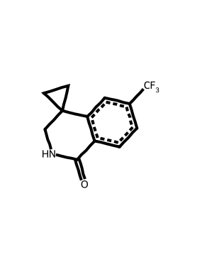 O=C1NCC2(CC2)c2cc(C(F)(F)F)ccc21